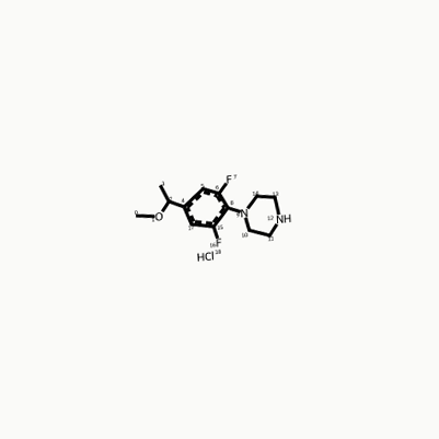 COC(C)c1cc(F)c(N2CCNCC2)c(F)c1.Cl